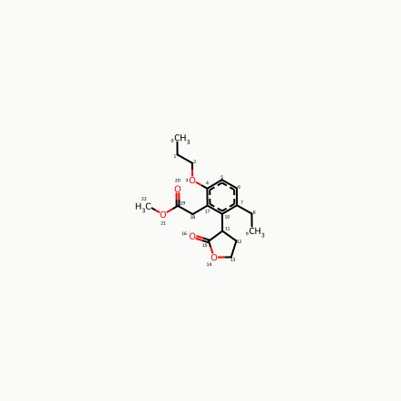 CCCOc1ccc(CC)c(C2CCOC2=O)c1CC(=O)OC